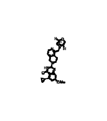 COc1cc(C2CC2)c2c(=O)[nH]c(N3CCc4c(ccnc4CN4C[C@H]5C[C@@H]4CO5)C3)nc2c1